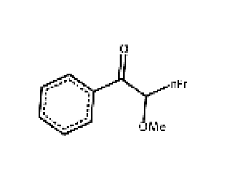 CCCC(OC)C(=O)c1ccccc1